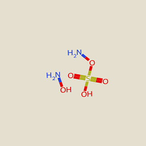 NO.NOS(=O)(=O)O